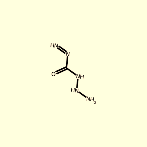 N=NC(=O)NNN